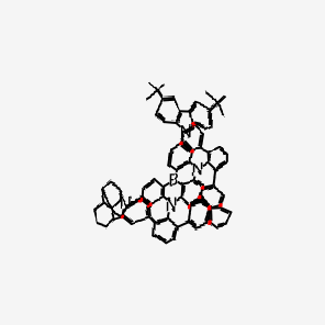 CC(C)(C)c1ccc2c(c1)c1cc(C(C)(C)C)ccc1n2-c1ccc2c(c1)N(c1c(-c3ccccc3)cccc1-c1ccccc1)c1cc(-c3ccccc3)cc3c1B2c1ccc(N2C4CC5CC2C2CCCC5C2C4)cc1N3c1c(-c2ccccc2)cccc1-c1ccccc1